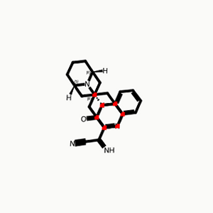 N#CC(=N)c1nc2ccccc2n([C@H]2C[C@H]3CCC[C@@H](C2)N3C2CC3CCCC(C3)C2)c1=O